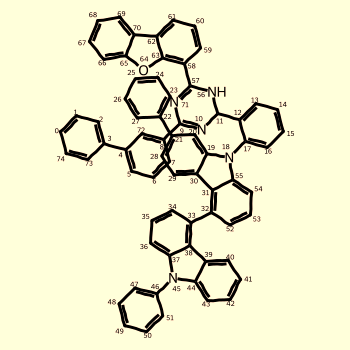 c1ccc(-c2cccc(C3=NC(c4ccccc4-n4c5cc(-c6ccccc6)ccc5c5c(-c6cccc7c6c6ccccc6n7-c6ccccc6)cccc54)NC(c4cccc5c4oc4ccccc45)=N3)c2)cc1